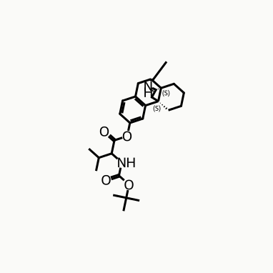 CC(C)C(NC(=O)OC(C)(C)C)C(=O)Oc1ccc2c(c1)[C@]13CCCC[C@@H]1C(C2)N(C)CC3